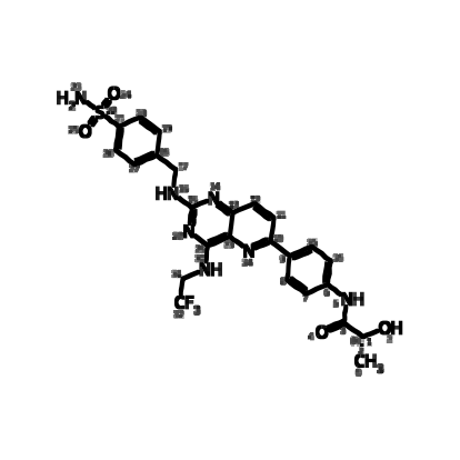 C[C@@H](O)C(=O)Nc1ccc(-c2ccc3nc(NCc4ccc(S(N)(=O)=O)cc4)nc(NCC(F)(F)F)c3n2)cc1